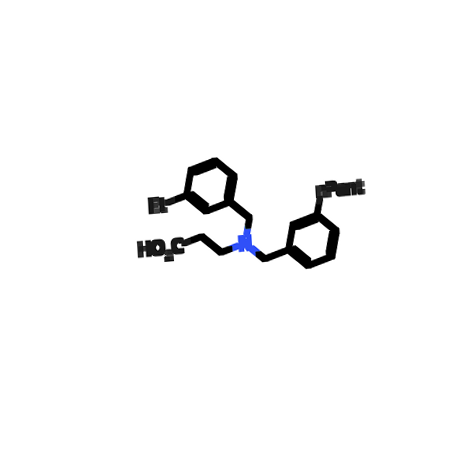 CCCCCc1cccc(CN(CCC(=O)O)Cc2cccc(CC)c2)c1